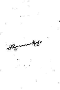 CCOC(=O)CC(=O)C(Br)CCCCCCCCCCCCC(Br)C(=O)CC(=O)OCC